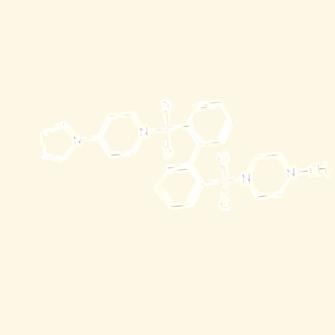 CN1CCN(S(=O)(=O)c2ccccc2-c2ccc[c]c2S(=O)(=O)N2CCC(N3CCCC3)CC2)CC1